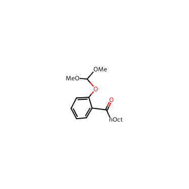 CCCCCCCCC(=O)c1ccccc1OC(OC)OC